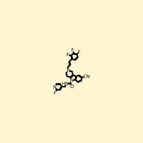 N#Cc1ccc2c(c1)c1c(n2C(=O)NCc2ccnc(F)c2)CCN(C/C=C/c2ccc(F)c(F)c2F)C1